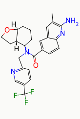 Cc1cc2cc(C(=O)N(Cc3ccc(C(F)(F)F)cn3)[C@@H]3CCC[C@@H]4OCC[C@H]43)ccc2nc1N